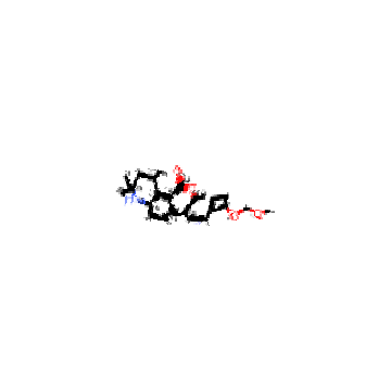 COCOC1CCC1/C=C\c1c(C)oc(=O)c2c3c(ccc12)NC(C)(C)C=C3C